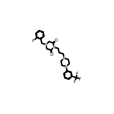 O=C1CN(Cc2ccccc2F)CC(=O)N1CCCN1CCN(c2cccc(C(F)(F)F)c2)CC1